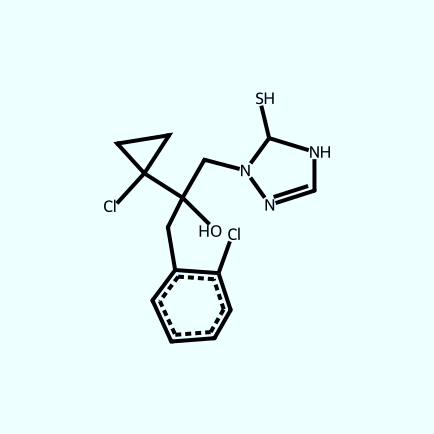 OC(Cc1ccccc1Cl)(CN1N=CNC1S)C1(Cl)CC1